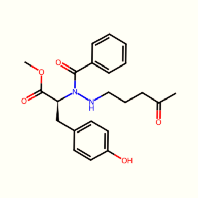 COC(=O)[C@H](Cc1ccc(O)cc1)N(NCCCC(C)=O)C(=O)c1ccccc1